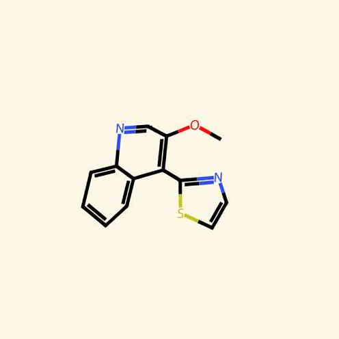 COc1[c]nc2ccccc2c1-c1nccs1